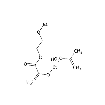 C=C(C)C(=O)O.C=C(OCC)C(=O)OCCOCC